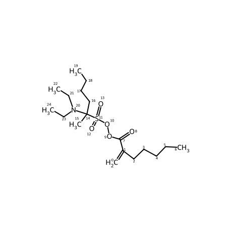 C=C(CCCCC)C(=O)OOS(=O)(=O)C(C)(CCCC)N(CC)CC